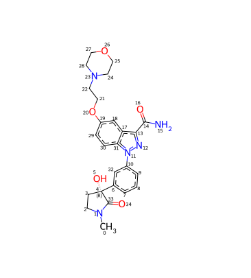 CN1CC[C@@](O)(c2cccc(-n3nc(C(N)=O)c4cc(OCCN5CCOCC5)ccc43)c2)C1=O